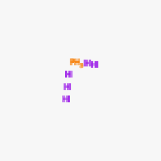 I.I.I.I.I.P